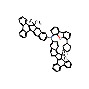 CC1(C)c2cc3cc(N(c4ccc5c6c(ccc5c4)-c4c(c5ccccc5c5ccccc45)C6(C)C)c4cccc5c4oc4c(C6CCCCC6)cccc45)ccc3cc2-c2c1c1ccccc1c1ccccc21